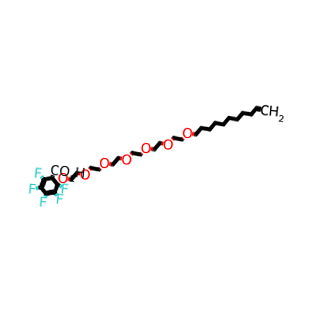 C=CCCCCCCCCCOCCOCCOCCOCCOCCOCCOC1(F)C(F)=C(F)C(F)=C(F)C1C(=O)O